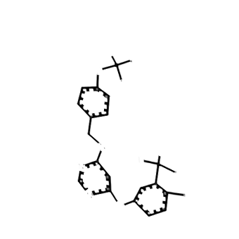 Fc1ccc(Oc2cc(NCc3ccc(OC(F)(F)F)cc3)ncn2)cc1C(F)(F)F